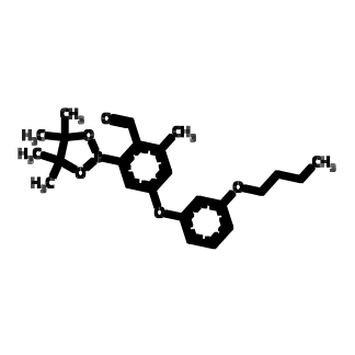 CCCCOc1cccc(Oc2cc(C)c(C=O)c(B3OC(C)(C)C(C)(C)O3)c2)c1